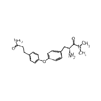 CN(C)C(=O)[C@@H](N)Cc1ccc(Oc2ccc(CCC(N)=O)cc2)cc1